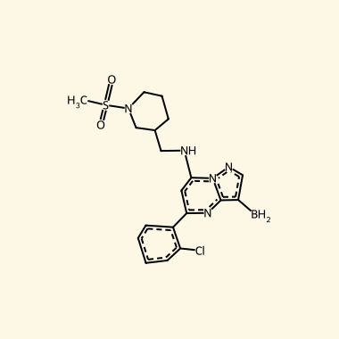 Bc1cnn2c(NCC3CCCN(S(C)(=O)=O)C3)cc(-c3ccccc3Cl)nc12